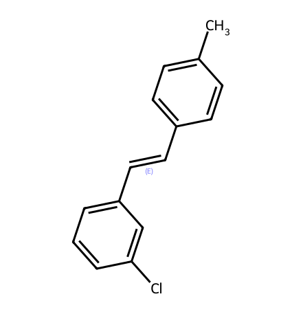 Cc1ccc(/C=C/c2cccc(Cl)c2)cc1